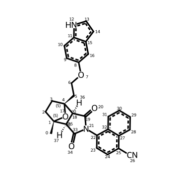 C[C@@]12CC[C@@](CCOc3ccc4[nH]ccc4c3)(O1)[C@H]1C(=O)N(c3ccc(C#N)c4ccccc34)C(=O)[C@H]12